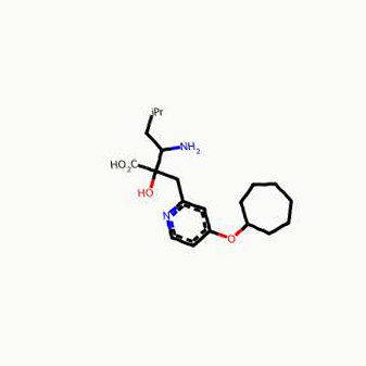 CC(C)CC(N)C(O)(Cc1cc(OC2CCCCCC2)ccn1)C(=O)O